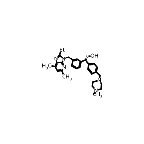 CCc1nc2c(C)cc(C)nc2n1Cc1cccc(C(=NO)c2ccc(CN3CCN(C)CC3)cc2)c1